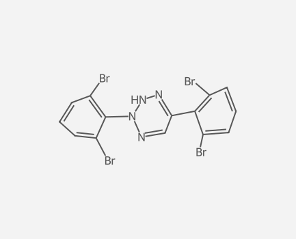 Brc1cccc(Br)c1C1=NNN(c2c(Br)cccc2Br)N=C1